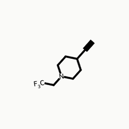 C#CC1CCN(CC(F)(F)F)CC1